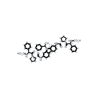 CC(c1ccccc1)n1c2cc(NC(=O)[C@@H]3CCCN3C(=O)C(NC(=O)O)c3ccccc3)ccc2c2ccc(NC(=O)[C@@H]3CCCN3C(=O)C(NC(=O)O)c3ccccc3)cc21